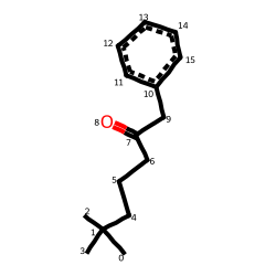 CC(C)(C)CCCC(=O)Cc1ccccc1